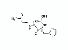 NC(=O)CCNNC(=O)[C@H](CC1CCCC1)NC(=O)O